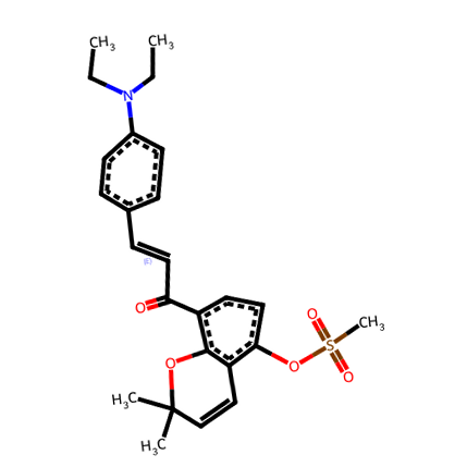 CCN(CC)c1ccc(/C=C/C(=O)c2ccc(OS(C)(=O)=O)c3c2OC(C)(C)C=C3)cc1